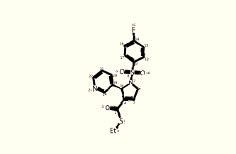 CCSC(=O)C1=CCN(S(=O)(=O)c2ccc(F)cc2)[C@@H]1c1cccnc1